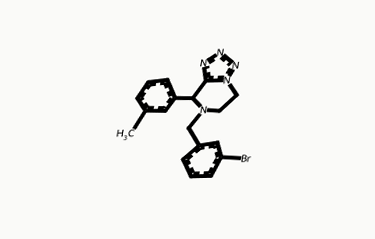 Cc1cccc(C2c3nnnn3CCN2Cc2cccc(Br)c2)c1